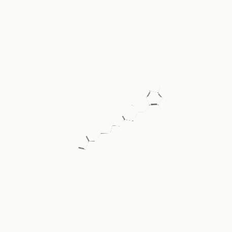 C=CC(=O)OCCCOC(=O)C[C@H](N)Cc1cc(F)c(F)cc1F